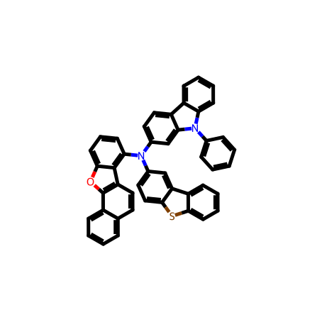 c1ccc(-n2c3ccccc3c3ccc(N(c4ccc5sc6ccccc6c5c4)c4cccc5oc6c7ccccc7ccc6c45)cc32)cc1